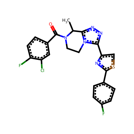 CC1c2nnc(-c3csc(-c4ccc(F)cc4)n3)n2CCN1C(=O)c1ccc(F)c(Cl)c1